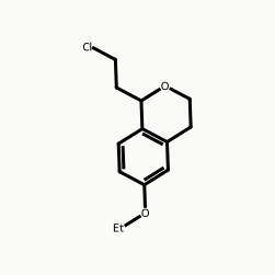 CCOc1ccc2c(c1)CCOC2CCCl